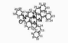 O=c1c2ccc3c4c5ccccc5ccc4n(-c4nc(-c5ccccc5)c5c(ccc6ccccc65)n4)c3c2c2ccccc2n1-c1ccccc1